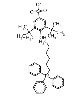 CC(C)(C)c1cc(S(=O)(=O)[O-])cc(C(C)(C)C)c1O.CCCCCC[P+](c1ccccc1)(c1ccccc1)c1ccccc1